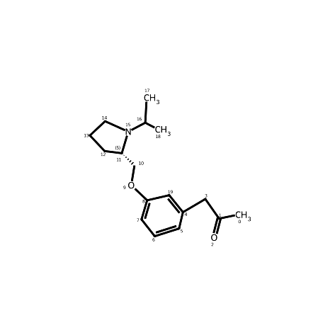 CC(=O)Cc1cccc(OC[C@@H]2CCCN2C(C)C)c1